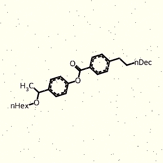 CCCCCCCCCCCCc1ccc(C(=O)Oc2ccc(C(C)OCCCCCC)cc2)cc1